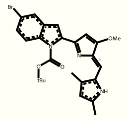 COC1=CC(c2cc3cc(Br)ccc3n2C(=O)OC(C)(C)C)=N/C1=C\c1[nH]c(C)cc1C